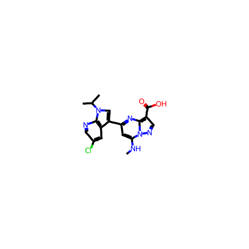 CNc1cc(-c2cn(C(C)C)c3ncc(Cl)cc23)nc2c(C(=O)O)cnn12